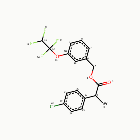 CC(C)C(C(=O)OCc1cccc(OC(F)(F)C(F)F)c1)c1ccc(Cl)cc1